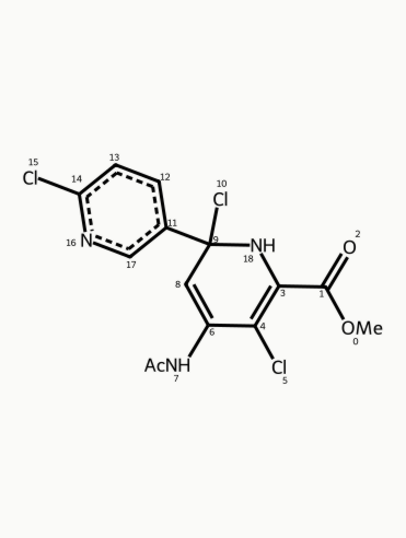 COC(=O)C1=C(Cl)C(NC(C)=O)=CC(Cl)(c2ccc(Cl)nc2)N1